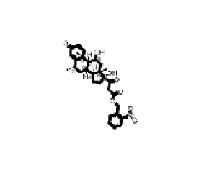 C[C@H]1C[C@@H]2[C@H]([C@@H](O)C[C@@]3(C)[C@H]2CC[C@]3(O)C(=O)CC(=O)OCc2ccccc2[N+](=O)[O-])[C@@]2(C)C=CC(=O)C=C12